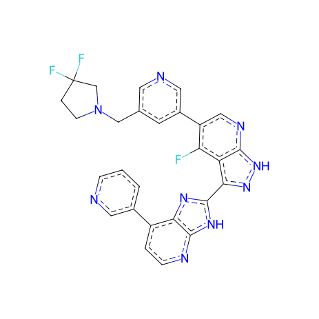 Fc1c(-c2cncc(CN3CCC(F)(F)C3)c2)cnc2[nH]nc(-c3nc4c(-c5cccnc5)ccnc4[nH]3)c12